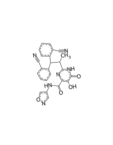 CC(c1nc(C(=O)Nc2cnoc2)c(O)c(=O)[nH]1)C(c1ccccc1C#N)c1ccccc1C#N